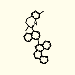 Cc1ccc2c(c1)N=C(c1ccc(-c3cc4ccc5ccccc5c4c4ccccc34)c3ccccc13)C(C)CC2